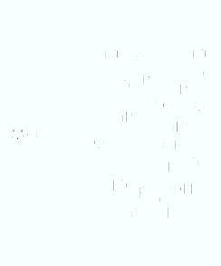 CC(C)OP(=O)(CP(=O)(OC(C)C)OC(C)C)OC(C)C.COCCOCCC(P(=O)(O)O)P(=O)(O)O